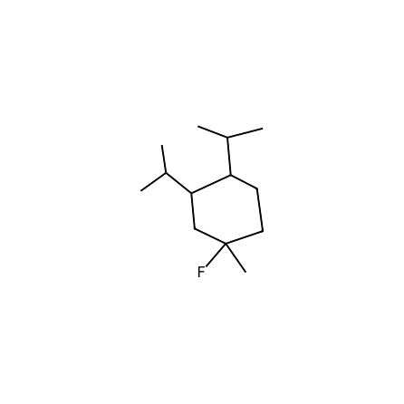 CC(C)C1CCC(C)(F)CC1C(C)C